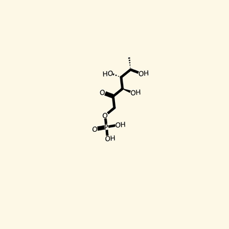 C[C@H](O)[C@@H](O)[C@@H](O)C(=O)COP(=O)(O)O